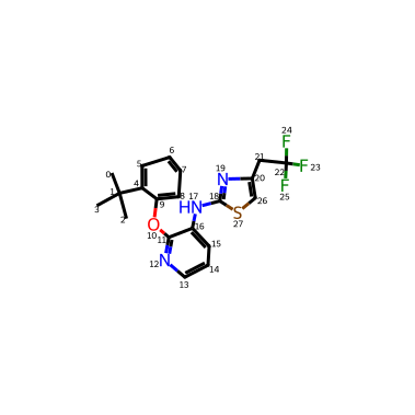 CC(C)(C)c1ccccc1Oc1ncccc1Nc1nc(CC(F)(F)F)cs1